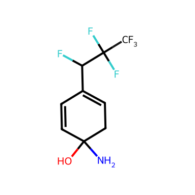 NC1(O)C=CC(C(F)C(F)(F)C(F)(F)F)=CC1